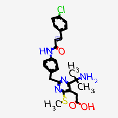 CSc1nc(Cc2ccc(NC(=O)/C=C/c3ccc(Cl)cc3)cc2)nc(C(C)(C)N)c1CC(=O)O